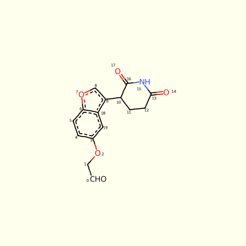 O=CCOc1ccc2occ(C3CCC(=O)NC3=O)c2c1